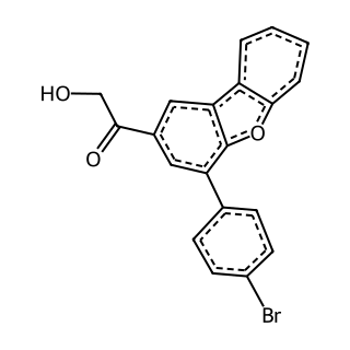 O=C(CO)c1cc(-c2ccc(Br)cc2)c2oc3ccccc3c2c1